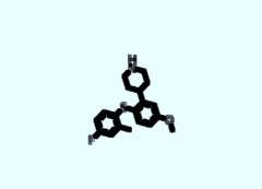 COc1ccc(Sc2ccc(F)cc2C)c(C2CCNCC2)c1